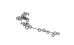 C[C@@H](NC(=O)c1cccc(NCC(=N)N(C)C(=N)c2ccncn2)c1)c1cccc(OCCCCCCOCCOCCOCCCC(=O)O)c1